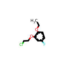 CCOc1ccc(F)cc1OCCCl